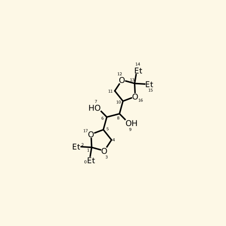 CCC1(CC)OCC(C(O)C(O)C2COC(CC)(CC)O2)O1